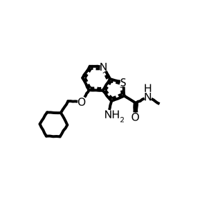 CNC(=O)c1sc2nccc(OCC3CCCCC3)c2c1N